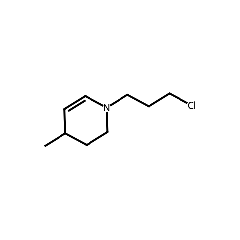 CC1C=CN(CCCCl)CC1